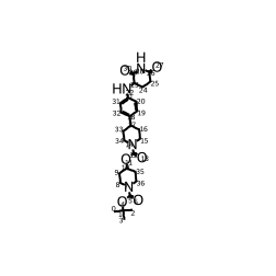 CC(C)(C)OC(=O)N1CCC(OC(=O)N2CCC(c3ccc(NC4CCC(=O)NC4=O)cc3)CC2)CC1